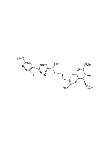 COC(=O)[C@@H](C)[C@H](c1ccc(CCCC(O)c2ccc(-c3cc(OC)ncc3F)cn2)c(O)c1)C1CC1